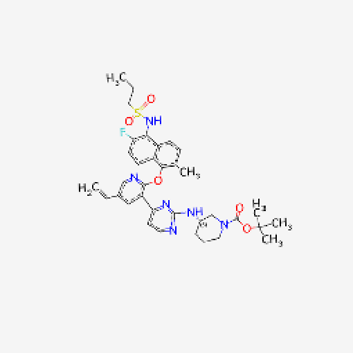 C=Cc1cnc(Oc2c(C)ccc3c(NS(=O)(=O)CCC)c(F)ccc23)c(-c2ccnc(N[C@H]3CCCN(C(=O)OC(C)(C)C)C3)n2)c1